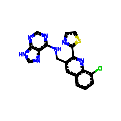 Clc1cccc2cc(CNc3ncnc4[nH]cnc34)c(-c3nccs3)nc12